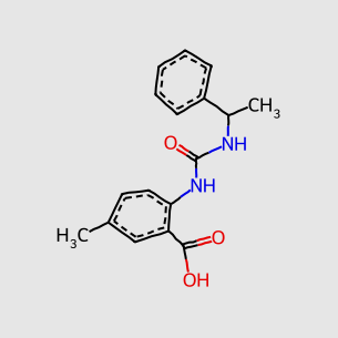 Cc1ccc(NC(=O)NC(C)c2ccccc2)c(C(=O)O)c1